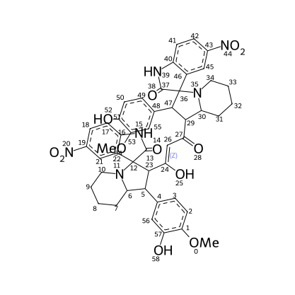 COc1ccc(C2C3CCCCN3C3(C(=O)Nc4ccc([N+](=O)[O-])cc43)C2/C(O)=C/C(=O)C2C3CCCCN3C3(C(=O)Nc4ccc([N+](=O)[O-])cc43)C2c2ccc(O)c(OC)c2)cc1O